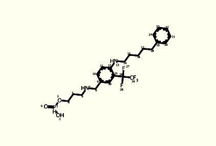 O=[PH](O)OCCCNCc1ccc(NCCCCCc2ccccc2)c(C(F)(F)C(F)(F)F)c1